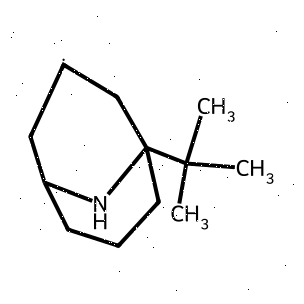 CC(C)(C)C12C[CH]CC(CCC1)N2